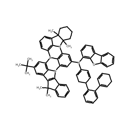 CC(C)(C)c1cc2c3c(c1)c1c(n3-c3cc(N(C4=CCC(c5ccccc5C5=CCCC=C5)C=C4)c4cccc5c4oc4ccccc45)cc4c3B2c2cccc3c2N4C2(C)CCCCC32C)-c2ccccc2C1(C)C